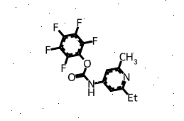 CCc1cc(NC(=O)Oc2c(F)c(F)c(F)c(F)c2F)cc(C)n1